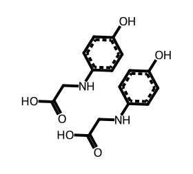 O=C(O)CNc1ccc(O)cc1.O=C(O)CNc1ccc(O)cc1